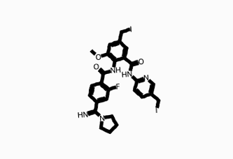 COc1cc(CI)cc(C(=O)Nc2ccc(CI)cn2)c1NC(=O)c1ccc(C(=N)N2CCCC2)cc1F